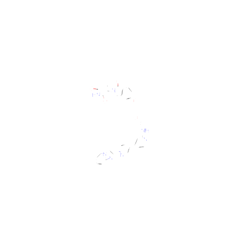 O=C1CCC(N2Cc3cc(OCCOCCNc4cc(-c5ccc(-c6cn7ccccc7n6)nc5)ccn4)ccc3C2=O)C(=O)N1